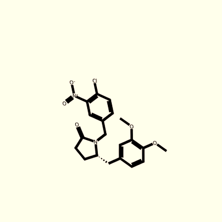 COc1ccc(C[C@@H]2CCC(=O)N2Cc2ccc(Cl)c([N+](=O)[O-])c2)cc1OC